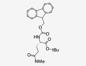 CNC(=O)CC[C@H](NC(=O)OCC1c2ccccc2-c2ccccc21)C(=O)OC(C)(C)C